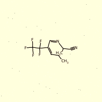 CC/C=C(\C=N/C(C)C#N)C(F)(F)C(F)(F)F